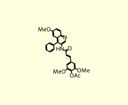 COc1ccc2ncc(NC(=O)/C=C/c3cc(OC)c(OC(C)=O)c(OC)c3)c(-c3ccccc3)c2c1